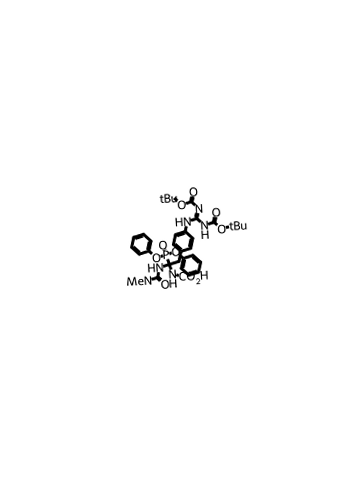 CNC(=O)NC(Cc1ccc(NC(=NC(=O)OC(C)(C)C)NC(=O)OC(C)(C)C)cc1)(NC(=O)O)P(=O)(Oc1ccccc1)Oc1ccccc1